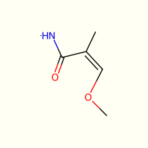 COC=C(C)C([NH])=O